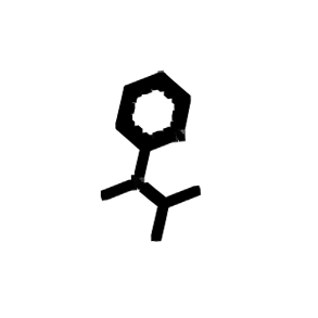 CC(C)N(C)c1cc[c]cn1